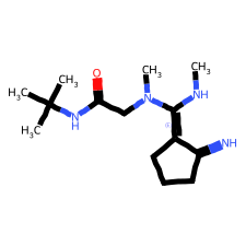 CN/C(=C1/CCCC1=N)N(C)CC(=O)NC(C)(C)C